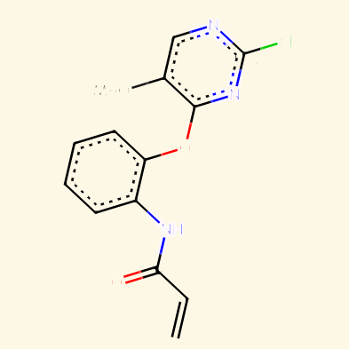 C=CC(=O)Nc1ccccc1Oc1nc(Cl)ncc1OC